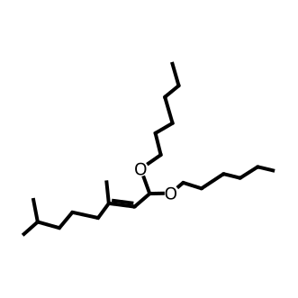 CCCCCCOC(/C=C(\C)CCCC(C)C)OCCCCCC